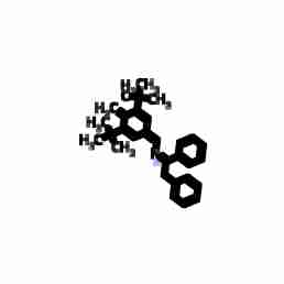 C=c1c(C(C)(C)C)cc(=C/N=C(/Cc2ccccc2)c2ccccc2)cc1C(C)(C)C